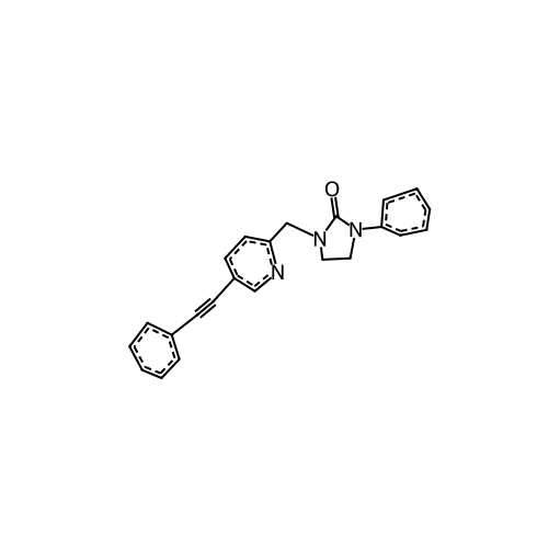 O=C1N(Cc2ccc(C#Cc3ccccc3)cn2)CCN1c1ccccc1